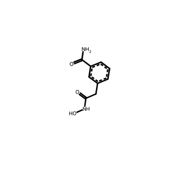 NC(=O)c1cccc(CC(=O)NO)c1